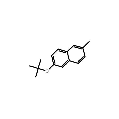 Cc1ccc2cc(OC(C)(C)C)ccc2c1